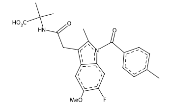 COc1cc2c(CC(=O)NC(C)(C)C(=O)O)c(C)n(C(=O)c3ccc(C)cc3)c2cc1F